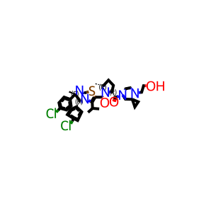 CC(C)C1=C(C(=O)N2[C@H](C)CC[C@@H]2C(=O)N2CCN(CCO)C3(CC3)C2)SC2=N[C@@](C)(c3ccc(Cl)cc3)[C@@H](c3ccc(Cl)cc3)N21